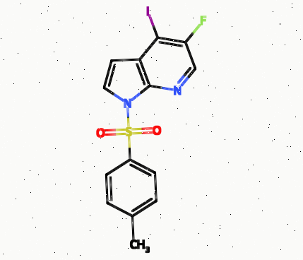 Cc1ccc(S(=O)(=O)n2ccc3c(I)c(F)cnc32)cc1